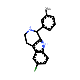 COc1cccc(C2NCCc3c2[nH]c2ccc(Cl)cc32)c1